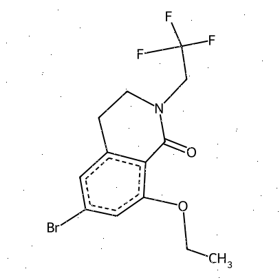 CCOc1cc(Br)cc2c1C(=O)N(CC(F)(F)F)CC2